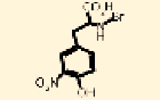 O=C(O)C(Cc1ccc(O)c([N+](=O)[O-])c1)NBr